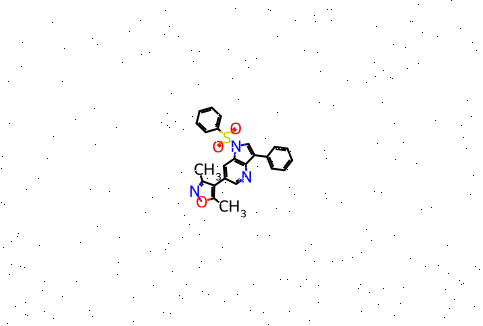 Cc1noc(C)c1-c1cnc2c(-c3ccccc3)cn(S(=O)(=O)c3ccccc3)c2c1